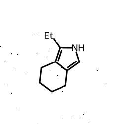 CCc1[nH]cc2c1CCCC2